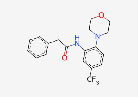 O=C(Cc1ccccc1)Nc1cc(C(F)(F)F)ccc1N1CCOCC1